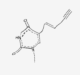 C#C/C=C/c1cn(C)c(=O)[nH]c1=O